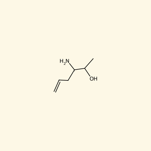 C=CC[C](N)C(C)O